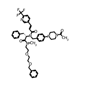 CC(=O)N1CCN(c2ccc(CN(C(=O)/C=C/c3ccc(C(F)(F)F)nc3)[C@@H](Cc3ccccc3)C(=O)N(C)CCOCCOCc3ccccc3)cc2)CC1